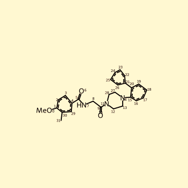 COc1ccc(C(=O)NCC(=O)N2CCN(c3ccccc3-c3ccccc3)CC2)cc1C